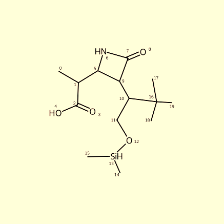 CC(C(=O)O)C1NC(=O)C1C(CO[SiH](C)C)C(C)(C)C